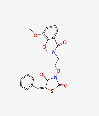 COc1cccc2c1OCN(CCON1C(=O)SC(=Cc3ccccc3)C1=O)C2=O